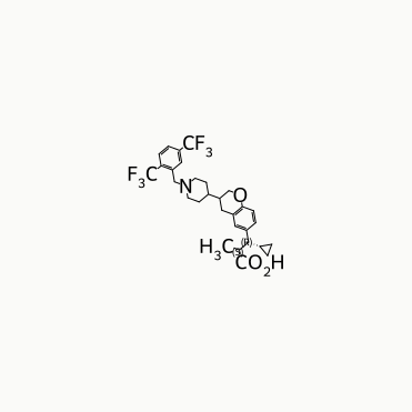 C[C@H](C(=O)O)[C@H](c1ccc2c(c1)CC(C1CCN(Cc3cc(C(F)(F)F)ccc3C(F)(F)F)CC1)CO2)C1CC1